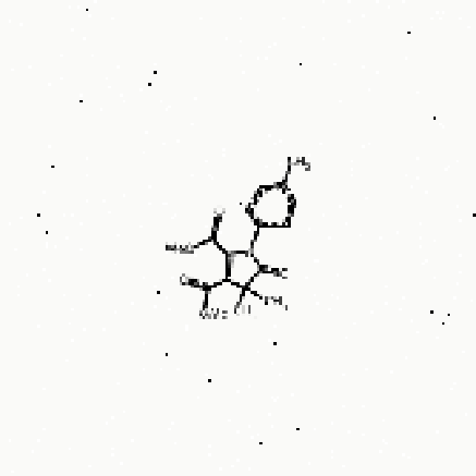 COC(=O)C1=C(C(=O)OC)C(C)(C)C(=O)N1c1ccc(C)cc1